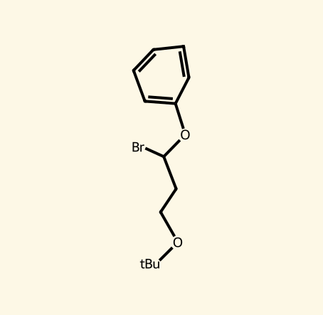 CC(C)(C)OCCC(Br)Oc1ccccc1